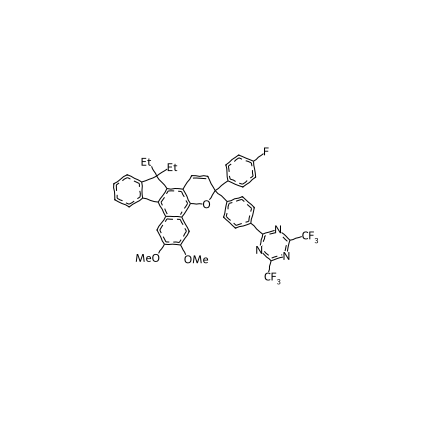 CCC1(CC)c2ccccc2-c2c1c1c(c3cc(OC)c(OC)cc23)OC(c2ccc(F)cc2)(c2ccc(-c3nc(C(F)(F)F)nc(C(F)(F)F)n3)cc2)C=C1